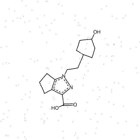 O=C(O)c1nn(CCC2CCC(O)CC2)c2c1CCC2